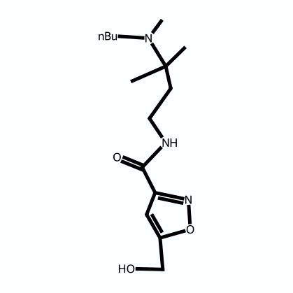 CCCCN(C)C(C)(C)CCNC(=O)c1cc(CO)on1